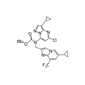 CC(C)(C)OC(=O)N(Cc1cn2cc(C3CC3)cc(C(F)(F)F)c2n1)c1cc(Cl)nc2c(C3CC3)cnn12